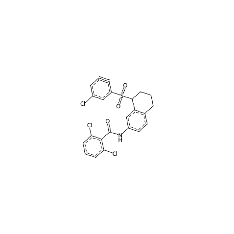 O=C(Nc1ccc2c(c1)C(S(=O)(=O)c1c#ccc(Cl)c1)CCC2)c1c(Cl)cccc1Cl